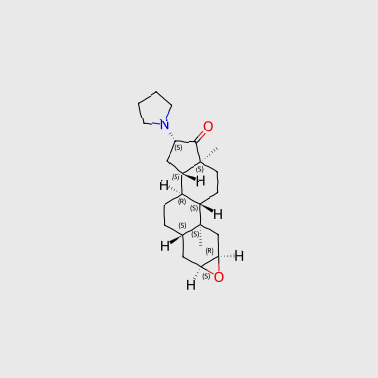 C[C@]12C[C@H]3O[C@H]3C[C@@H]1CC[C@@H]1[C@@H]2CC[C@]2(C)C(=O)[C@@H](N3CCCC3)C[C@@H]12